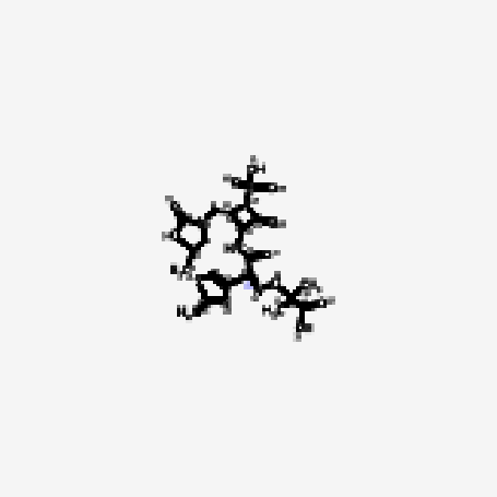 CC1CN(C[C@@H]2[C@H](NC(=O)/C(=N\OC(C)(C)C(=O)O)c3csc(N)n3)C(=O)N2S(=O)(=O)O)C(=O)O1